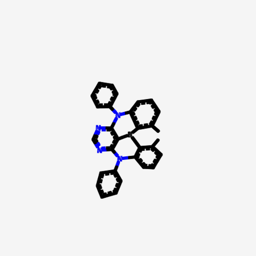 Cc1cccc2c1B1c3c(C)cccc3N(c3ccccc3)c3ncnc(c31)N2c1ccccc1